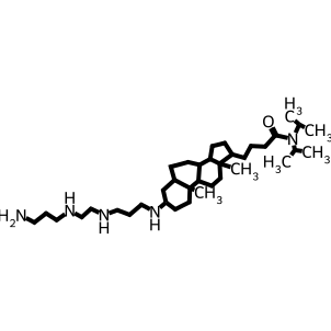 CC(C)N(C(=O)CCCC1CCC2C3CCC4CC(NCCCNCCNCCCN)CCC4(C)C3CCC12C)C(C)C